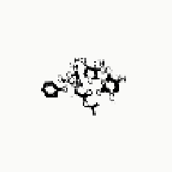 [2H]c1c[nH]c(=O)n([C@@H]2O[C@H](C([2H])([2H])OP(=O)(N[C@@H](C)C(=O)OC(C)C)Oc3ccccc3)[C@@H](O)[C@@]2(C)O)c1=O